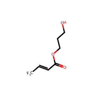 O=C(C=CC(F)(F)F)OCCCO